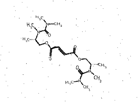 C[C@@H](COC(=O)/C=C/C(=O)OC[C@H](C)N(C)C(=O)N(C)C)N(C)C(=O)N(C)C